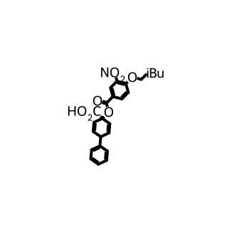 CCC(C)COc1ccc(C(=O)OC2(C(=O)O)C=CC(c3ccccc3)C=C2)cc1[N+](=O)[O-]